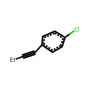 CCC#Cc1ccc(Cl)cc1